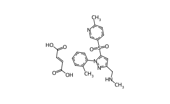 CNCc1cc(S(=O)(=O)c2ccc(C)nc2)n(-c2ccccc2C)n1.O=C(O)C=CC(=O)O